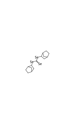 [Se]=C([Se]C1CC2CCC1C2)[Se]C1CC2CCC1C2